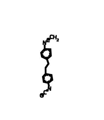 C=C=Nc1ccc(CCc2ccc(N=C=O)cc2)cc1